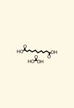 O=C(O)CCCCCCCCC(=O)O.O=C(O)O